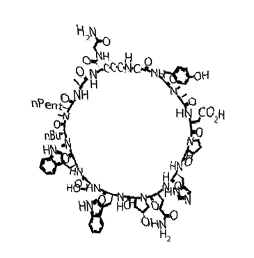 CCCCC[C@H]1C(=O)N[C@@H](C)C(=O)N[C@H](C(=O)NCC(N)=O)CCCNCC(=O)N[C@@H](Cc2ccc(O)cc2)C(=O)N(C)[C@@H](C)C(=O)NC(CC(=O)O)C(=O)N2CCC[C@H]2C(=O)N[C@@H](Cc2cnc[nH]2)C(=O)N[C@@H](CCC(N)=O)C(=O)N2C[C@H](O)C[C@H]2C(=O)N[C@@H](Cc2c[nH]c3ccccc23)C(=O)N[C@@H](CO)C(=O)N[C@@H](Cc2c[nH]c3ccccc23)C(=O)N(C)[C@@H](CCCC)C(=O)N1C